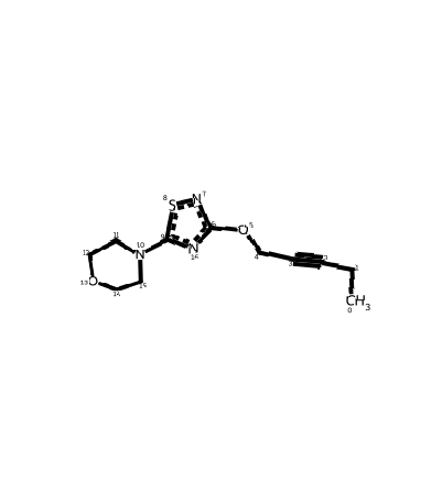 CCC#CCOc1nsc(N2CCOCC2)n1